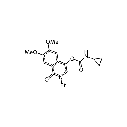 CCn1cc(OC(=O)NC2CC2)c2cc(OC)c(OC)cc2c1=O